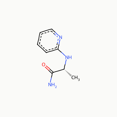 C[C@@H](Nc1ccccn1)C(N)=O